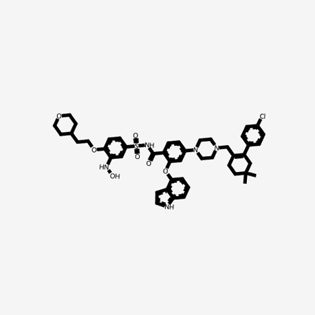 CC1(C)CCC(CN2CCN(c3ccc(C(=O)NS(=O)(=O)c4ccc(OCCC5CCOCC5)c(NO)c4)c(Oc4cccc5[nH]ccc45)c3)CC2)=C(c2ccc(Cl)cc2)C1